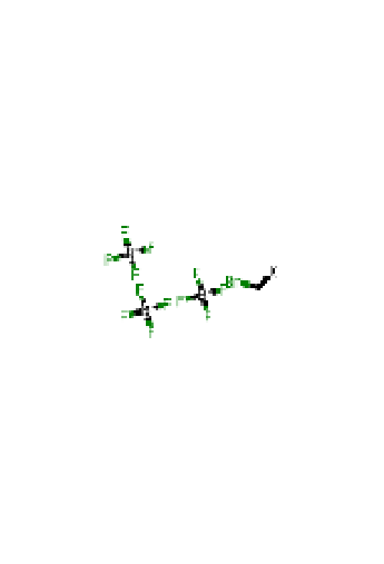 F[B-](F)(F)F.F[B-](F)(F)F.F[B-](F)(F)F.[K][CH2]Br